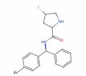 CC(C)c1ccc([C@@H](NC(=O)C2CC(F)CN2)c2ccccc2)cc1